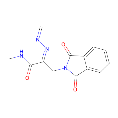 C=N/N=C(/CN1C(=O)c2ccccc2C1=O)C(=O)NC